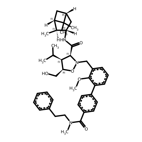 COc1c(CN2O[C@@H](CO)[C@@H](C(C)C)[C@H]2C(=O)N[C@H]2C[C@H]3C[C@@H]([C@@H]2C)C3(C)C)cccc1-c1ccc(C(=O)N(C)CCc2ccccc2)cc1